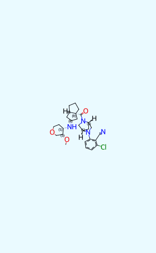 CO[C@@H]1COCC[C@@H]1N[C@@H]1C[C@H]2CCC[C@@]2(C(=O)N2C[C@@H]3C[C@H]2CN3c2cccc(Cl)c2C#N)C1